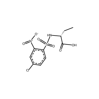 CC[C@@H](NS(=O)(=O)c1ccc(Cl)cc1[N+](=O)[O-])C(=O)O